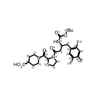 CC(C)(C)OC(=O)NC(CC(=O)N1CCSC1C(=O)N1CCC(C(=O)O)CC1)Cc1cc(F)c(F)cc1F